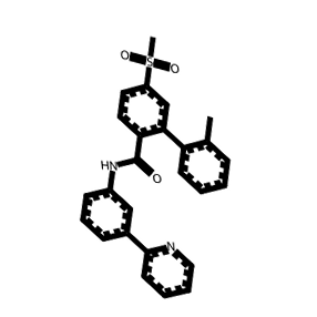 Cc1ccccc1-c1cc(S(C)(=O)=O)ccc1C(=O)Nc1cccc(-c2ccccn2)c1